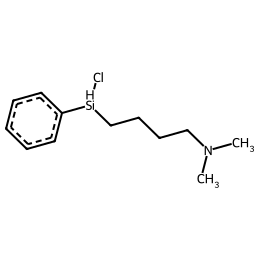 CN(C)CCCC[SiH](Cl)c1ccccc1